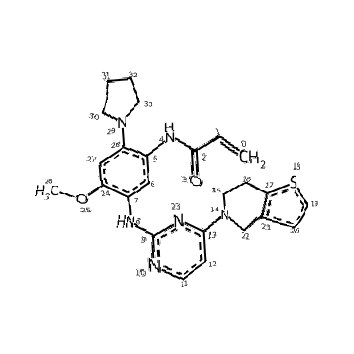 C=CC(=O)Nc1cc(Nc2nccc(N3CCc4sccc4C3)n2)c(OC)cc1N1CCCC1